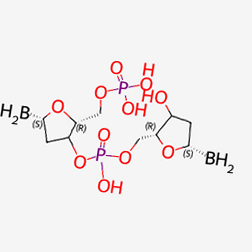 B[C@H]1CC(O)[C@@H](COP(=O)(O)OC2C[C@H](B)O[C@@H]2COP(=O)(O)O)O1